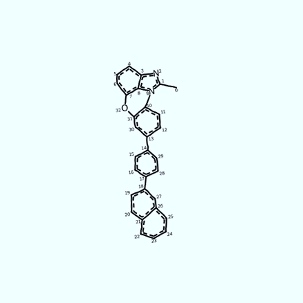 Cc1nc2cccc3c2n1-c1ccc(-c2ccc(-c4ccc5ccccc5c4)cc2)cc1O3